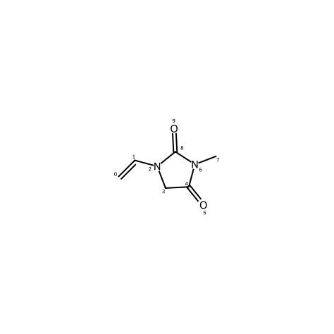 C=CN1CC(=O)N(C)C1=O